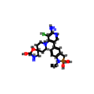 CN1c2ccc(-c3cnc(N)c(F)c3N3CCC4(CC3)CNC(=O)O4)cc2CS1(=O)=O